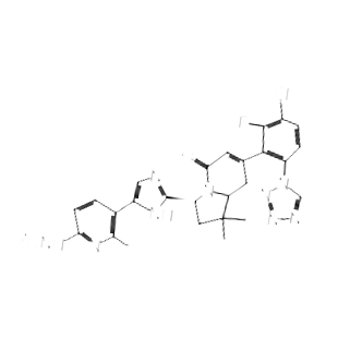 CC(=O)Nc1ccc(-c2cnc([C@@H]3CC(C)(C)C4CC(c5c(-n6cnnn6)ccc(Cl)c5F)=CC(=O)N43)[nH]2)c(F)n1